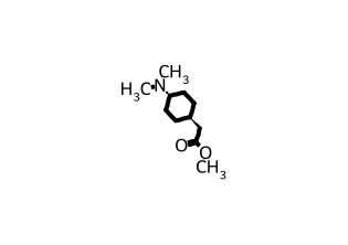 COC(=O)C[C@H]1CC[C@H](N(C)C)CC1